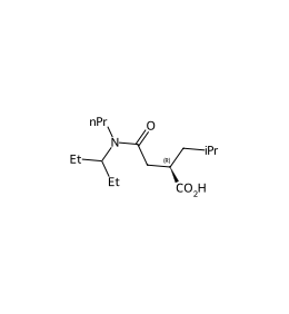 CCCN(C(=O)C[C@@H](CC(C)C)C(=O)O)C(CC)CC